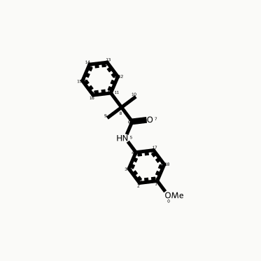 COc1ccc(NC(=O)C(C)(C)c2ccccc2)cc1